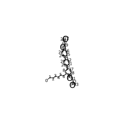 CCCCCCCc1cc(-c2ccc(-c3ccc(OCC4CO4)cc3)cc2)ccc1OCC1CO1